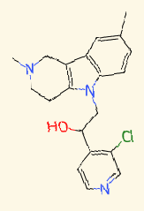 Cc1ccc2c(c1)c1c(n2CC(O)c2ccncc2Cl)CCN(C)C1